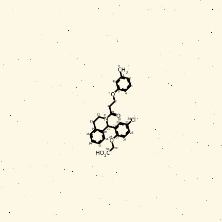 Cc1cccc(OCCC(=O)N2CCc3ccccc3C2c2cc(Cl)ccc2OCC(=O)O)c1